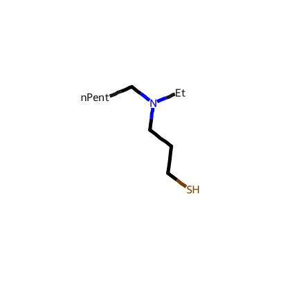 CCCCCCN(CC)CCCS